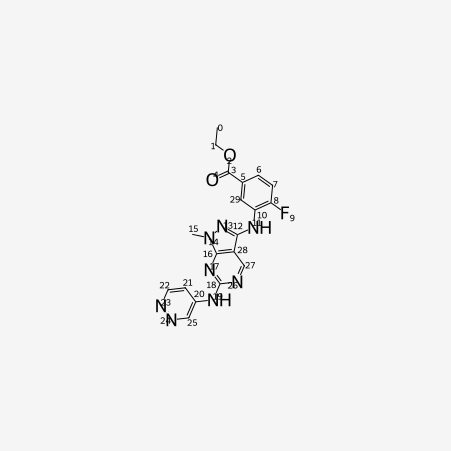 CCOC(=O)c1ccc(F)c(Nc2nn(C)c3nc(Nc4ccnnc4)ncc23)c1